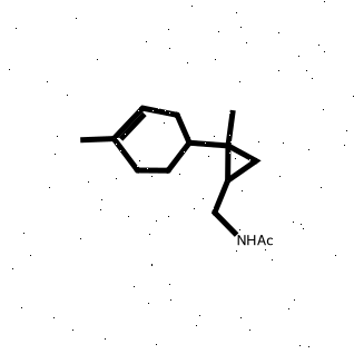 CC(=O)NCC1CC1(C)C1CC=C(C)CC1